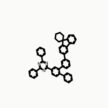 c1ccc(-c2nc(-c3ccccc3)nc(-c3ccc(-c4ccccc4)c(-c4cccc(-c5ccc6c(c5)-c5ccccc5C65CCCCC5)c4)c3)n2)cc1